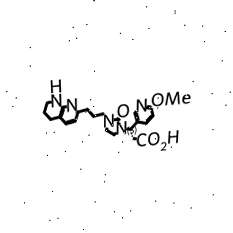 COc1ccc([C@H](CC(=O)O)N2CCN(CCCc3ccc4c(n3)NCCC4)C2=O)cn1